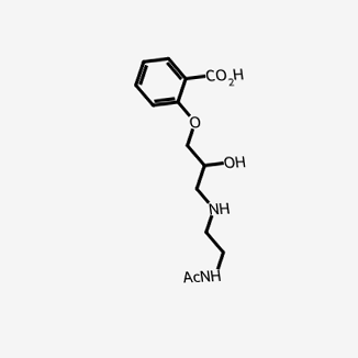 CC(=O)NCCNCC(O)COc1ccccc1C(=O)O